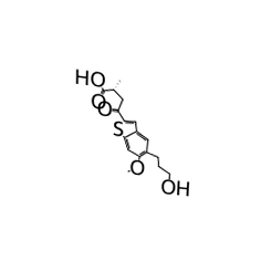 COc1cc2sc(C(=O)C[C@@H](C)C(=O)O)cc2cc1CCCO